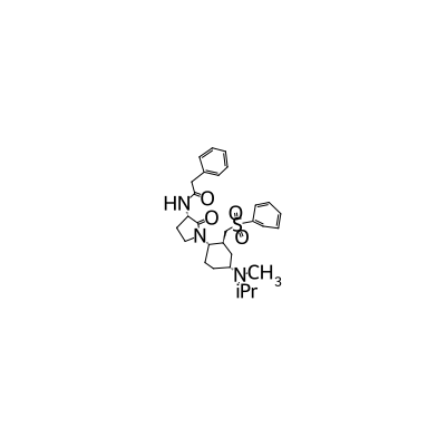 CC(C)N(C)[C@@H]1CC[C@H](N2CC[C@H](NC(=O)Cc3ccccc3)C2=O)[C@@H](CS(=O)(=O)c2ccccc2)C1